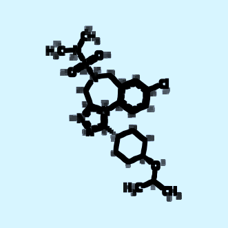 CC(C)O[C@H]1CC[C@H](c2nnc3n2-c2ccc(Cl)cc2CN(S(=O)(=O)N(C)C)C3)CC1